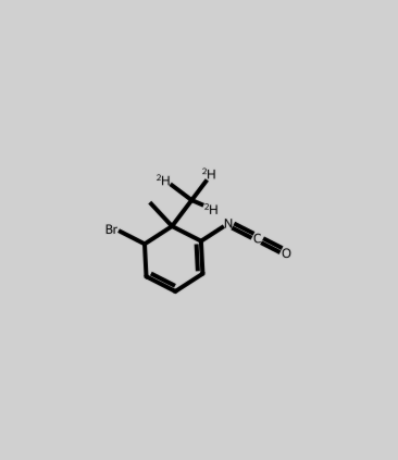 [2H]C([2H])([2H])C1(C)C(N=C=O)=CC=CC1Br